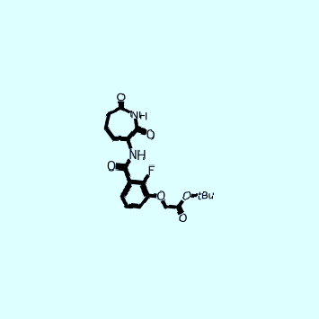 CC(C)(C)OC(=O)COc1cccc(C(=O)NC2CCCC(=O)NC2=O)c1F